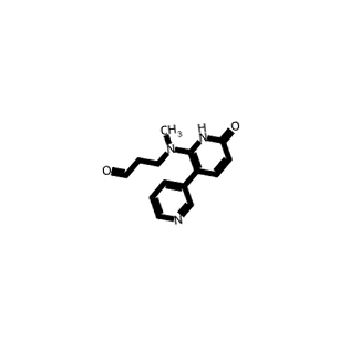 CN(CCC=O)c1[nH]c(=O)ccc1-c1cccnc1